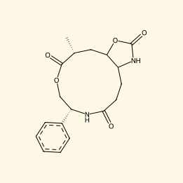 C[C@@H]1CC2OC(=O)NC2CCC(=O)N[C@H](c2ccccc2)COC1=O